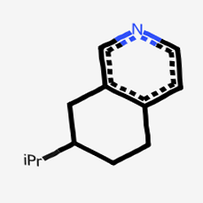 CC(C)C1CCc2ccncc2C1